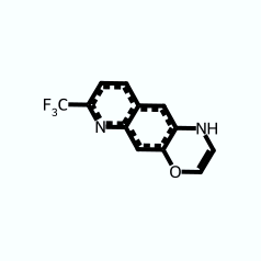 FC(F)(F)c1ccc2cc3c(cc2n1)OC=CN3